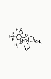 COc1cc(C(F)(F)F)cc(SC)c1C(=O)NC1(C2CCOCC2)CCCN(C)C1